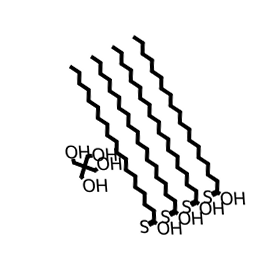 CCCCCCCCCCCCCCCCCCC(O)=S.CCCCCCCCCCCCCCCCCCC(O)=S.CCCCCCCCCCCCCCCCCCC(O)=S.CCCCCCCCCCCCCCCCCCC(O)=S.OCC(CO)(CO)CO